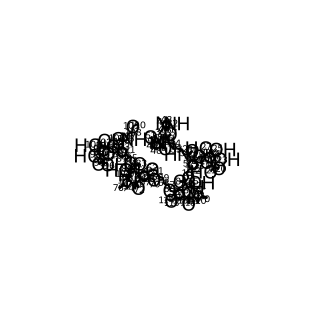 C=C1C[C@H]2C(O)N(C(=O)OCc3ccc(O[C@@H]4O[C@H](C(=O)O)[C@@H](O)[C@H](O)[C@H]4O)c(C(=O)NCCCNC(=O)[C@H](Cc4c[nH]cn4)N4C(=O)C=CC4=O)c3)c3cc(OCCCCCOc4cc5c(cc4OC)C(=O)N4CC(=C)C[C@H]4C(O)N5C(=O)OCc4ccc(O[C@@H]5O[C@H](C(=O)O)[C@@H](O)[C@H](O)[C@H]5O)c(C(=O)NCCOC)c4)c(OC)cc3C(=O)N2C1